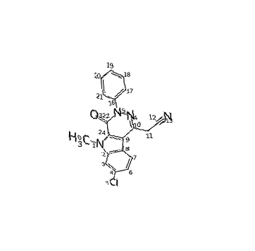 Cn1c2cc(Cl)ccc2c2c(CC#N)nn(-c3ccccc3)c(=O)c21